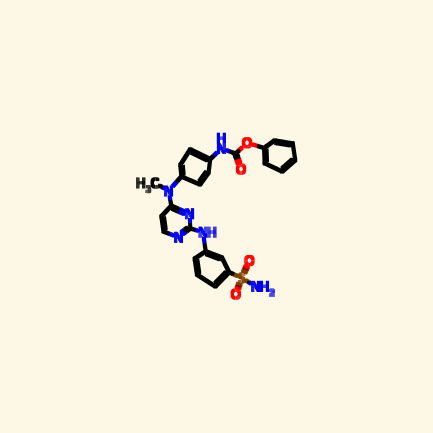 CN(c1ccc(NC(=O)Oc2ccccc2)cc1)c1ccnc(Nc2cccc(S(N)(=O)=O)c2)n1